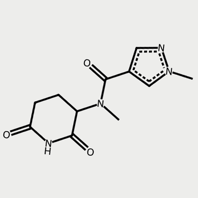 CN(C(=O)c1cnn(C)c1)C1CCC(=O)NC1=O